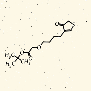 CC(C)(C)OC(=O)COCCCCC1=CSCC1=O